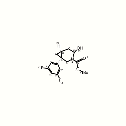 CC(C)(C)OC(=O)N1C[C@@]2(c3cc(F)cc(F)c3)C[C@H]2CC1O